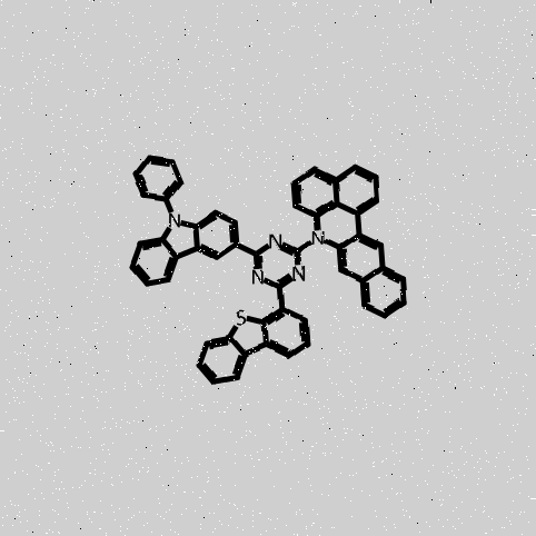 c1ccc(-n2c3ccccc3c3cc(-c4nc(-c5cccc6c5sc5ccccc56)nc(N5c6cc7ccccc7cc6-c6cccc7cccc5c67)n4)ccc32)cc1